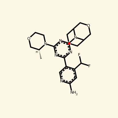 C[C@@H]1COCCN1c1nc(-c2cnc(N)cc2C(F)F)nc(N2C3COCC2COC3)n1